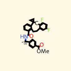 COC(=O)c1ccc([C@H](C)NC(=O)c2cccc3c2CCc2cc(F)cc(F)c2CC32CC2)cc1